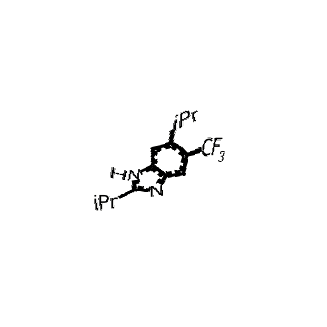 CC(C)c1nc2cc(C(F)(F)F)c(C(C)C)cc2[nH]1